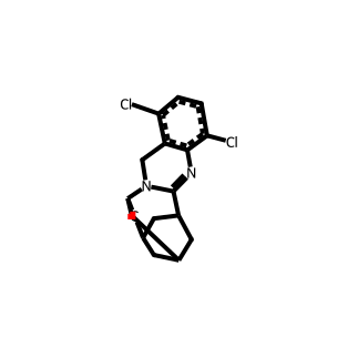 Clc1ccc(Cl)c2c1CN1C(=N2)C2CC3CC(C2)CC1C3